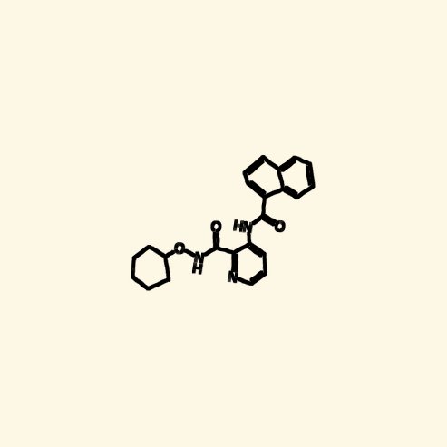 O=C(NOC1CCCCC1)c1ncccc1NC(=O)c1cccc2ccccc12